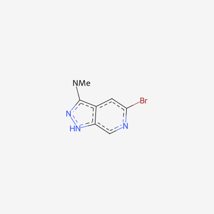 CNc1n[nH]c2cnc(Br)cc12